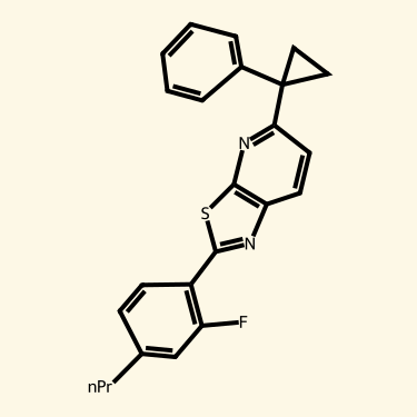 C[CH]Cc1ccc(-c2nc3ccc(C4(c5ccccc5)CC4)nc3s2)c(F)c1